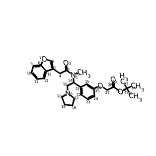 CN(C(=O)Cc1coc2ccccc12)C(CN1CCCC1)c1cccc(OCC(=O)OC(C)(C)C)c1